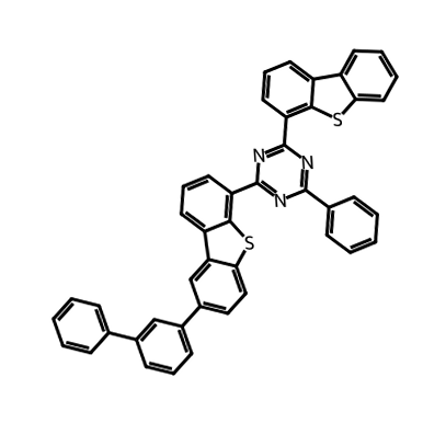 c1ccc(-c2cccc(-c3ccc4sc5c(-c6nc(-c7ccccc7)nc(-c7cccc8c7sc7ccccc78)n6)cccc5c4c3)c2)cc1